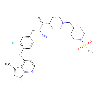 Cc1c[nH]c2nccc(Oc3ccc(CC(N)C(=O)N4CCN(CC5CCN(S(C)(=O)=O)CC5)CC4)cc3F)c12